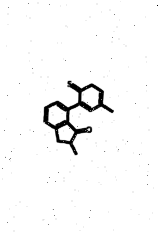 CC1=CCC(=S)C(c2cccc3c2C(=O)C(C)C3)=C1